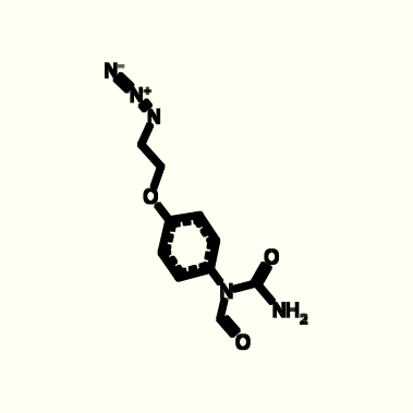 [N-]=[N+]=NCCOc1ccc(N(C=O)C(N)=O)cc1